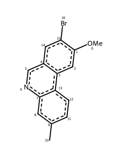 COc1cc2c(cnc3cc(C)ccc32)cc1Br